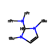 CCCN(CCC)[SiH]1N(C(C)(C)C)C=CN1C(C)(C)C